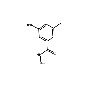 Cc1cc(C(=O)NC(C)(C)C)cc(C(C)(C)C)c1